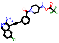 Nc1ncc2ccc(Cl)cc2c1C#Cc1cccc(C(=O)N2CCC(NOC(=O)C(F)(F)F)CC2)c1